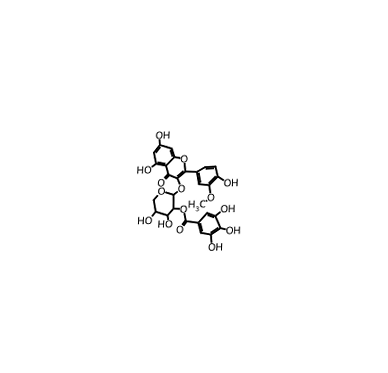 COc1cc(-c2oc3cc(O)cc(O)c3c(=O)c2OC2OCC(O)C(O)C2OC(=O)c2cc(O)c(O)c(O)c2)ccc1O